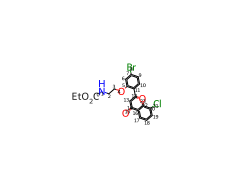 CCOC(=O)NCCOc1cc(Br)ccc1-c1cc(=O)c2cccc(Cl)c2o1